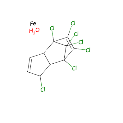 ClC1=C(Cl)C2(Cl)C3C(Cl)C=CC3C1(Cl)C2(Cl)Cl.O.[Fe]